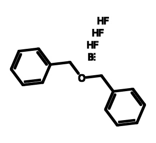 F.F.F.[B].c1ccc(COCc2ccccc2)cc1